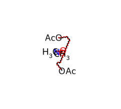 CC(=O)OCCCCC/C=C\C/C=C\CCCCCCCCC(CCCCCCCC/C=C\C/C=C\CCCCCOC(C)=O)OC(=O)CCCN(C)C